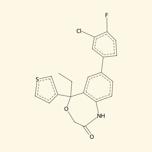 CCC1(c2ccsc2)OCC(=O)Nc2ccc(-c3ccc(F)c(Cl)c3)cc21